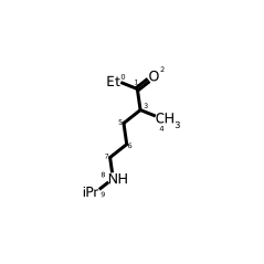 CCC(=O)C(C)CCCNC(C)C